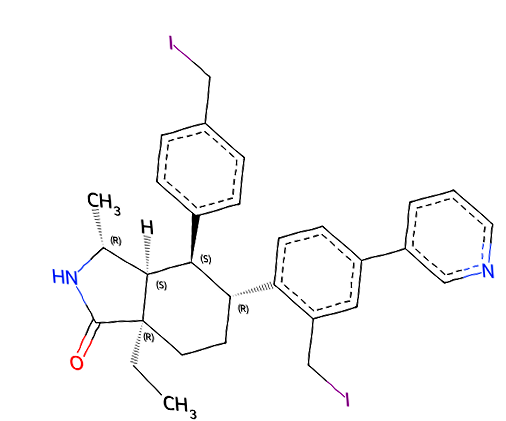 CC[C@@]12CC[C@@H](c3ccc(-c4cccnc4)cc3CI)[C@H](c3ccc(CI)cc3)[C@@H]1[C@@H](C)NC2=O